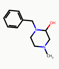 CN1CCN(Cc2c[c]ccc2)C(O)C1